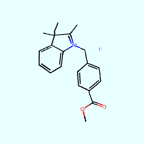 COC(=O)c1ccc(C[N+]2=C(C)C(C)(C)c3ccccc32)cc1.[I-]